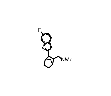 CNCC1C2CCC(C2)C1c1cc2ccc(F)cc2s1